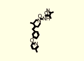 Cc1ccc(Oc2cccc(C=C3CCN(C(=O)Nc4onc(C)c4C)CC3C)c2)nc1